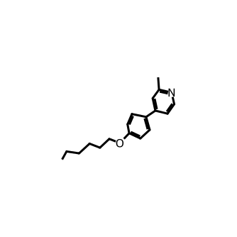 CCCCCCOc1ccc(-c2ccnc(C)c2)cc1